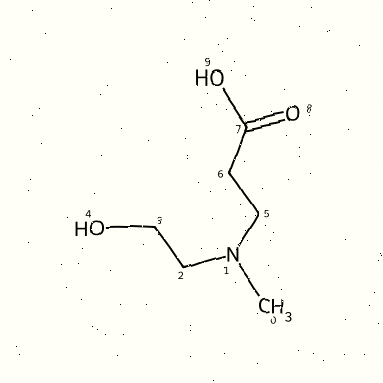 CN(CCO)CCC(=O)O